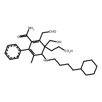 CC1=C(c2ccccc2)C(C(N)=O)=C(CC=O)C(CO)(CCC(=O)O)C1NCCCCC1CCCCC1